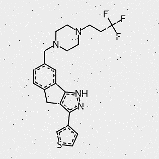 FC(F)(F)CCN1CCN(Cc2ccc3c(c2)-c2[nH]nc(-c4ccsc4)c2C3)CC1